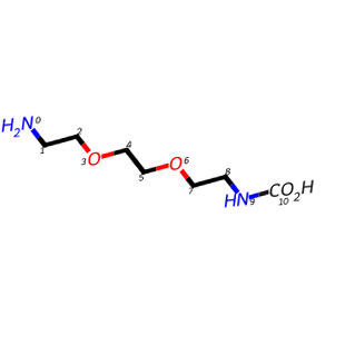 NCCOCCOCCNC(=O)O